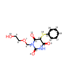 O=C1NC(=O)N(COCCO)C(=O)C1Sc1ccccc1